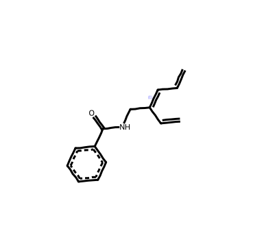 C=C/C=C(\C=C)CNC(=O)c1ccccc1